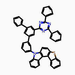 c1ccc(-c2cc(-c3cccc(-n4c5ccccc5c5c6c(ccc54)sc4ccccc46)c3)cc(-c3nc(-c4ccccc4)nc(-c4ccccc4)n3)c2)cc1